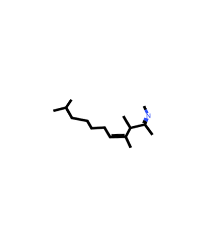 C/N=C(/C)C(C)/C(C)=C\CCCCC(C)C